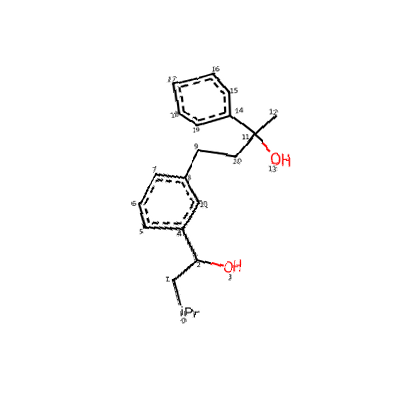 CC(C)CC(O)c1cccc(CCC(C)(O)c2ccccc2)c1